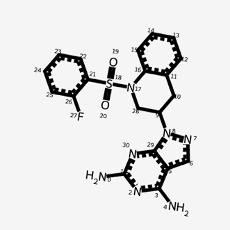 Nc1nc(N)c2cnn(C3Cc4ccccc4N(S(=O)(=O)c4ccccc4F)C3)c2n1